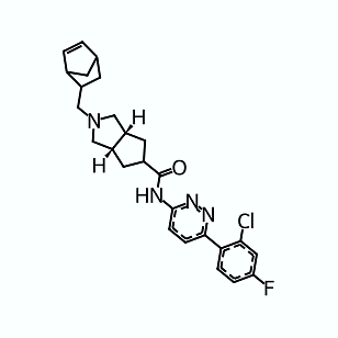 O=C(Nc1ccc(-c2ccc(F)cc2Cl)nn1)C1C[C@@H]2CN(CC3CC4C=CC3C4)C[C@@H]2C1